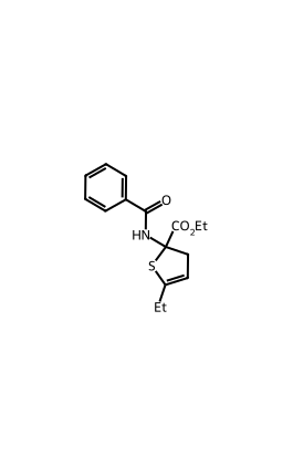 CCOC(=O)C1(NC(=O)c2ccccc2)CC=C(CC)S1